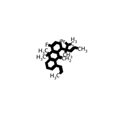 C=C1C2=C(CCC=C2/C=C\C)C(C)(C)C2=C1C(C(C)(C=CC)C(C)C(C)C)CC=C2F